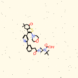 CC1(C)CC(=O)c2sc(N3CCOCC3)c(-c3ccnc(-c4cccc(CC(=O)N5CC(N(C(=O)O)C(C)(C)C)C5)c4)c3)c2C1